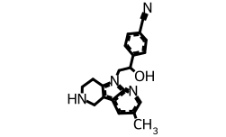 Cc1cnc2c(c1)c1c(n2CC(O)c2ccc(C#N)cc2)CCNC1